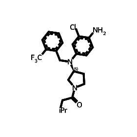 CC(C)CC(=O)N1CC[C@H](N(Cc2ccccc2C(F)(F)F)c2ccc(N)c(Cl)c2)C1